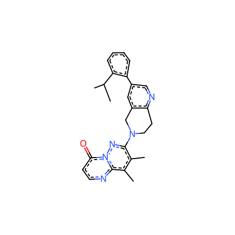 Cc1c(N2CCc3ncc(-c4ccccc4C(C)C)cc3C2)nn2c(=O)ccnc2c1C